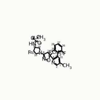 Cc1cnc(C2(C)CC(N3C[C@H](F)[C@H](NS(C)(=O)=O)C3)=NO2)c(-c2c(F)cccc2F)c1